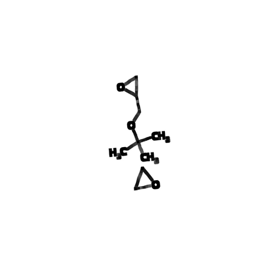 C1CO1.CC(C)(C)OCC1CO1